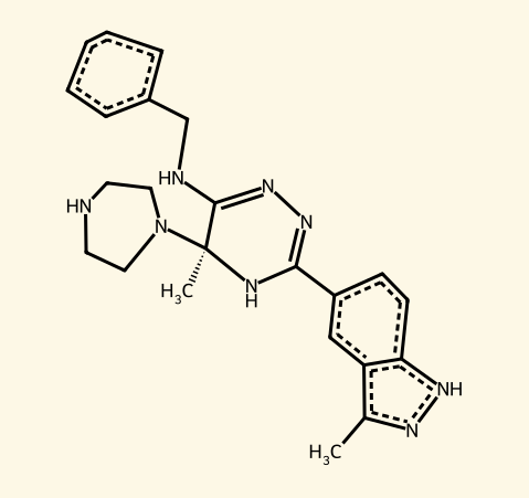 Cc1n[nH]c2ccc(C3=NN=C(NCc4ccccc4)[C@](C)(N4CCNCC4)N3)cc12